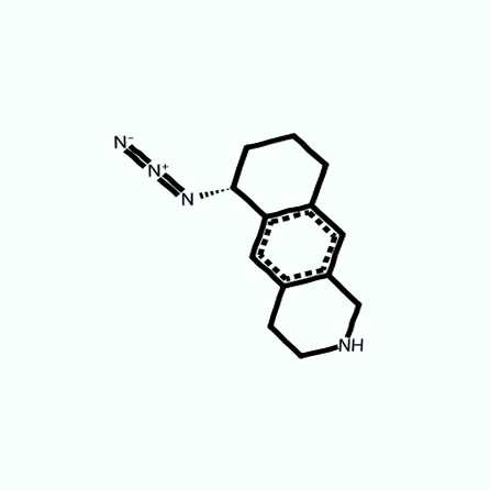 [N-]=[N+]=N[C@@H]1CCCc2cc3c(cc21)CCNC3